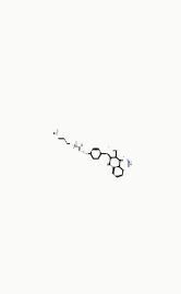 CN(C)CCCNOOSc1ccc(C2=C3C(=O)c4ccccc4C(/N=N\Cl)=C3C(=O)N2)cc1